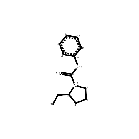 CCC1CCCN1C(=O)Oc1ccccc1